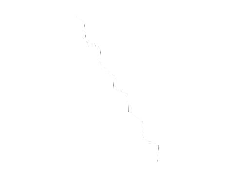 CCCCCCCCCC[P]CC